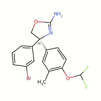 Cc1cc([C@]2(c3cccc(Br)c3)COC(N)=N2)ccc1OC(F)F